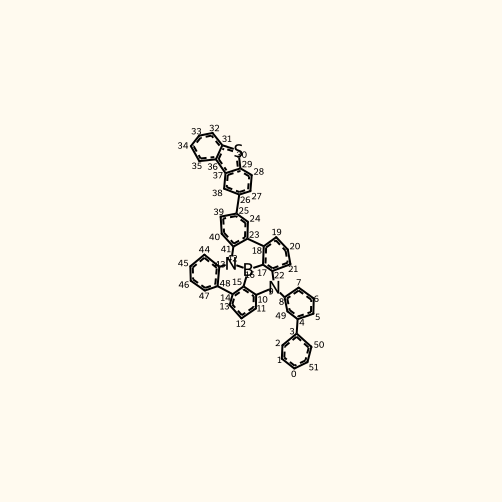 c1ccc(-c2cccc(N3c4cccc5c4B4c6c(cccc63)-c3cc(-c6ccc7sc8ccccc8c7c6)ccc3N4c3ccccc3-5)c2)cc1